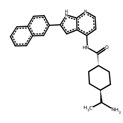 CC(N)[C@H]1CC[C@H](C(=O)Nc2ccnc3[nH]c(-c4ccc5ccccc5c4)cc23)CC1